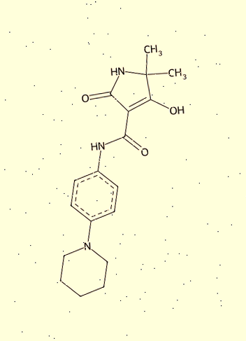 CC1(C)NC(=O)C(C(=O)Nc2ccc(N3CCCCC3)cc2)=C1O